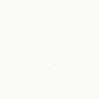 COc1ccc(C)cc1-c1nc(NC2CCN(C(=O)OC(C)(C)C)C2)c2ccccc2n1